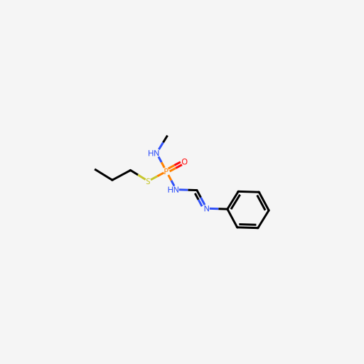 CCCSP(=O)(NC)NC=Nc1ccccc1